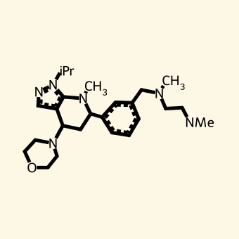 CNCCN(C)Cc1cccc(C2CC(N3CCOCC3)c3cnn(C(C)C)c3N2C)c1